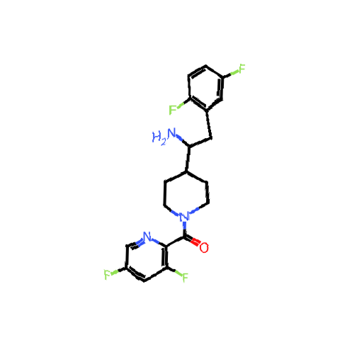 NC(Cc1cc(F)ccc1F)C1CCN(C(=O)c2ncc(F)cc2F)CC1